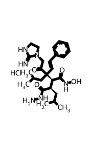 CC(C)C[C@@H](C(=O)NN)[C@H](C(=O)NO)C(/C=C/c1ccccc1)(CC(C)C)C(=O)CN1CCNC1=N.Cl